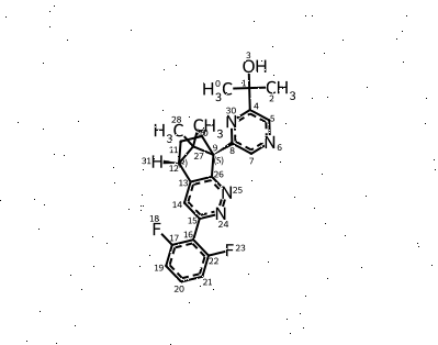 CC(C)(O)c1cncc([C@@]23CC[C@@H](c4cc(-c5c(F)cccc5F)nnc42)C3(C)C)n1